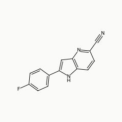 N#Cc1ccc2[nH]c(-c3ccc(F)cc3)cc2n1